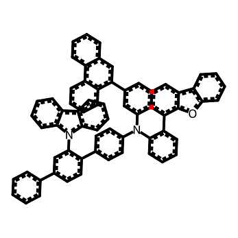 c1ccc(-c2ccc(-c3ccc(N(c4cccc(-c5cc6ccccc6c6ccccc56)c4)c4ccccc4-c4cccc5c4oc4ccccc45)cc3)c(-n3c4ccccc4c4ccccc43)c2)cc1